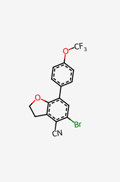 N#Cc1c(Br)cc(-c2ccc(OC(F)(F)F)cc2)c2c1CCO2